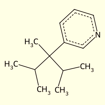 CC(C)C(C)(c1cccnc1)C(C)C